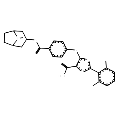 CN1C2CCC1CC(NC(=O)c1ccc(Nc3oc(-c4c(F)cccc4F)nc3C(N)=O)cc1)C2